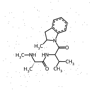 CN[C@@H](C)C(=O)NC(C(=O)N1c2ccccc2CC1C)C(C)C